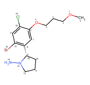 COCCCOc1cc([C@@H]2CCCN2N)c(Br)cc1Cl